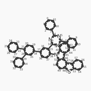 c1ccc(-c2nc(-c3ccccc3)nc(-c3cc(-c4ccc(-c5ccccc5)c(-c5ccccc5)c4)ccc3-n3c4ccccc4c4c5c(ccc43)sc3ccccc35)n2)cc1